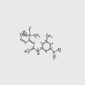 C=C(/C=C(\C=C/C)C(C)(C)F)Nc1cc(C)cc(C(CC)CC)c1